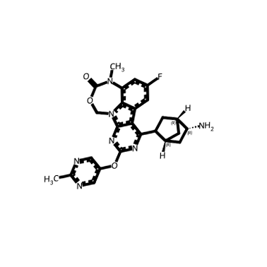 Cc1ncc(Oc2nc(C3C[C@H]4C[C@@H]3C[C@H]4N)c3c4cc(F)cc5c4n(c3n2)COC(=O)N5C)cn1